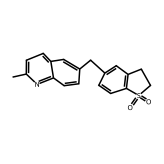 Cc1ccc2cc(Cc3ccc4c(c3)CCS4(=O)=O)ccc2n1